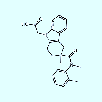 Cc1ccccc1N(C)C(=O)C1(C)CCc2c(c3ccccc3n2CC(=O)O)C1